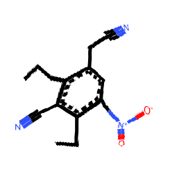 CCc1c(CC#N)cc([N+](=O)[O-])c(CC)c1C#N